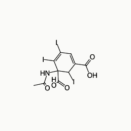 CC(=O)NC1(C(=O)O)C(I)=C(I)C=C(C(=O)O)C1I